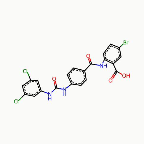 O=C(Nc1ccc(C(=O)Nc2ccc(Br)cc2C(=O)O)cc1)Nc1cc(Cl)cc(Cl)c1